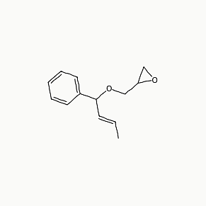 CC=CC(OCC1CO1)c1ccccc1